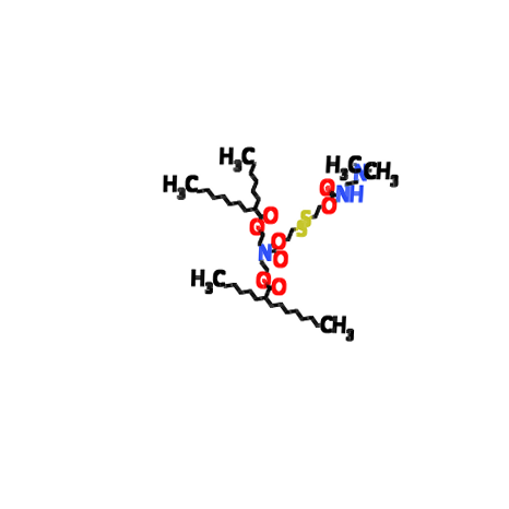 CCCCCCCCC(CCCCCC)C(=O)OCCN(CCOC(=O)C(CCCCCC)CCCCCCCC)C(=O)OCCSSCCOC(=O)NCCN(C)C